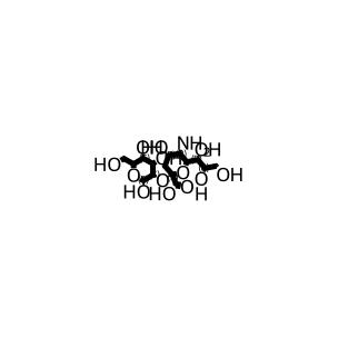 N[C@H]1C([C@H](O)[C@H](O)CO)O[C@@](O[C@H]2C(O)[C@H](O)C(CO)O[C@H]2O)(C(=O)O)C[C@H]1O